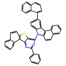 c1ccc(-c2nc(-n3c4ccc(-c5cccc6ccccc56)cc4c4c5ccccc5ccc43)c3sc4ccc5ccccc5c4c3n2)cc1